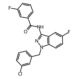 O=C(Nc1nn(Cc2cccc(Cl)c2)c2ccc(F)cc12)c1cccc(F)c1